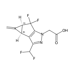 C=C1[C@@H]2c3c(C(F)F)nn(CC(=O)O)c3C(F)(F)[C@H]12